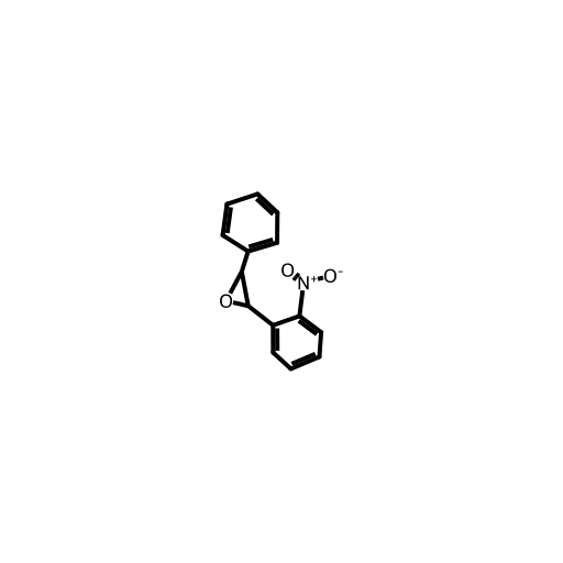 O=[N+]([O-])c1ccccc1C1OC1c1ccccc1